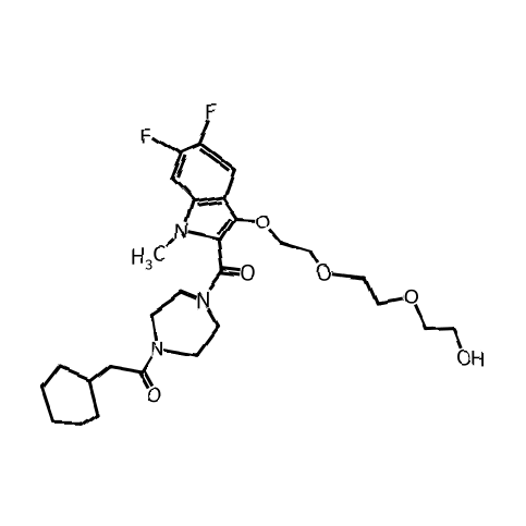 Cn1c(C(=O)N2CCN(C(=O)CC3CCCCC3)CC2)c(OCCOCCOCCO)c2cc(F)c(F)cc21